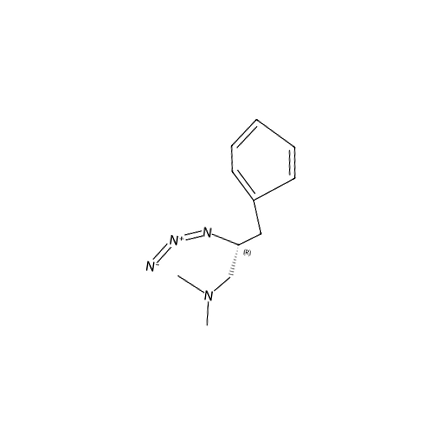 CN(C)C[C@@H](Cc1ccccc1)N=[N+]=[N-]